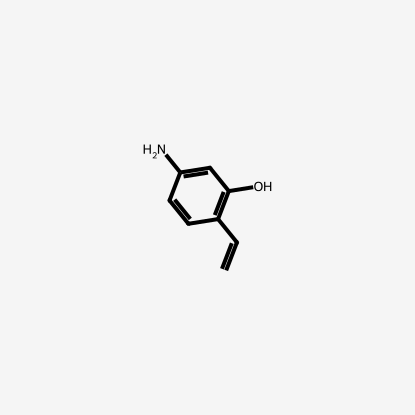 C=Cc1ccc(N)cc1O